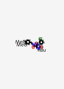 CCCCn1cc(C(=O)NCCc2ccc(OC)c(OC)c2)c(=O)n(-c2cccc(Cl)c2)c1=O